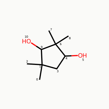 CC1(C)CC(O)C(C)(C)C1O